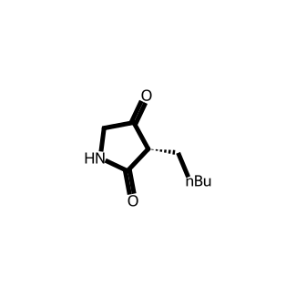 CCCCC[C@H]1C(=O)CNC1=O